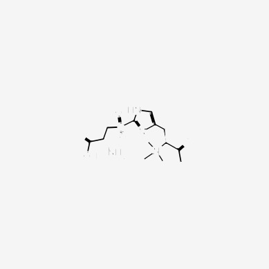 CC(=O)[C@H](Cc1c[nH]c(S(=O)(=O)C[C@H](N)C(=O)O)n1)[N+](C)(C)C